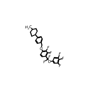 CC1CCC(c2ccc(COc3ccc(C(F)(F)Oc4cc(F)c(F)c(F)c4)c(F)c3F)cc2)CC1